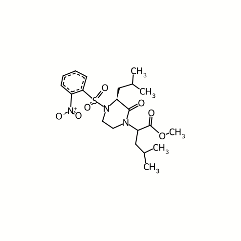 COC(=O)C(CC(C)C)N1CCN(S(=O)(=O)c2ccccc2[N+](=O)[O-])[C@@H](CC(C)C)C1=O